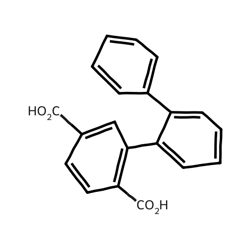 O=C(O)c1ccc(C(=O)O)c(-c2ccccc2-c2ccccc2)c1